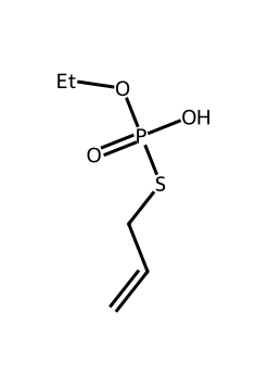 C=CCSP(=O)(O)OCC